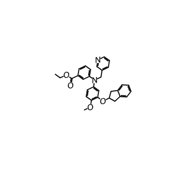 CCOC(=O)c1cccc(N(Cc2cccnc2)c2ccc(OC)c(OC3Cc4ccccc4C3)c2)c1